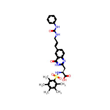 Cc1c(C)c(C)c(S(=O)(=O)N[C@@H](Cc2nc3ccc(/C=C/CNC(=O)Nc4ccccc4)cc3c(=O)[nH]2)C(=O)O)c(C)c1C